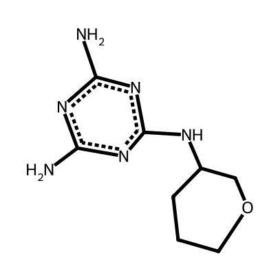 Nc1nc(N)nc(NC2CCCOC2)n1